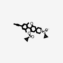 CC#Cc1cc(C)c(C2=C(OS(=O)C3CC3)CC3(CCN([S+]([O-])C4CC4)CC3)CC2=O)c(C)c1